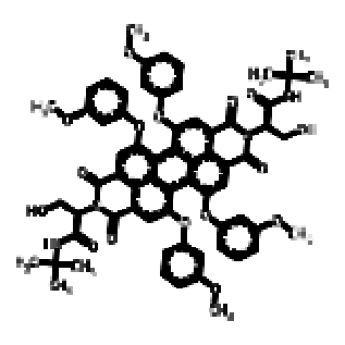 COc1cccc(Oc2cc3c4c(cc(Oc5cccc(OC)c5)c5c6c(Oc7cccc(OC)c7)cc7c8c(cc(Oc9cccc(OC)c9)c(c2c45)c86)C(=O)N(C(CO)C(=O)NC(C)(C)C)C7=O)C(=O)N(C(CO)C(=O)NC(C)(C)C)C3=O)c1